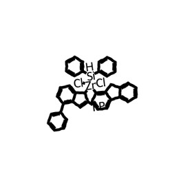 CCCC1=Cc2c(-c3ccccc3)cccc2[CH]1[Zr]([Cl])([Cl])([c]1cccc2c1Cc1ccccc1-2)[SiH](c1ccccc1)c1ccccc1